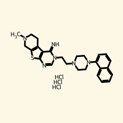 CN1CCc2c(sc3ncn(CCN4CCN(c5cccc6ccccc56)CC4)c(=N)c23)C1.Cl.Cl.Cl